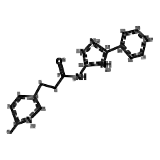 Cc1ccc(CCC(=O)Nc2nnc(-c3ccncc3)[nH]2)cn1